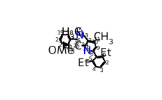 CCc1cccc(CC)c1-c1cc(C)c(CN(C)Cc2ccccc2OC)c(C)n1